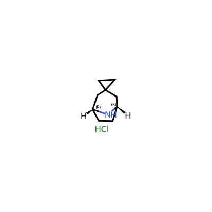 C1C[C@H]2CC3(CC3)C[C@@H]1N2.Cl